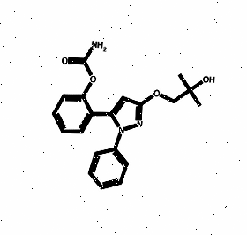 CC(C)(O)COc1cc(-c2ccccc2OC(N)=O)n(-c2ccccc2)n1